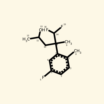 Cc1ccc(F)cc1C(C)(CC(C)O)C(F)F